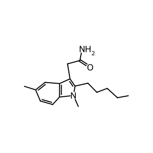 CCCCCc1c(CC(N)=O)c2cc(C)ccc2n1C